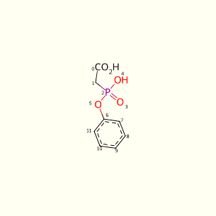 O=C(O)CP(=O)(O)Oc1ccccc1